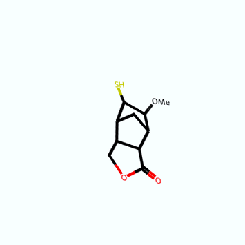 COC1C(S)C2CC1C1C(=O)OCC21